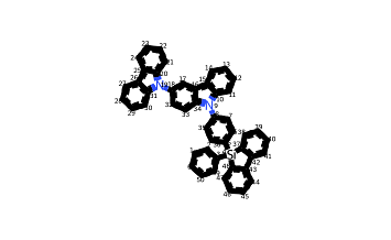 c1ccc([Si]2(c3ccc(-n4c5ccccc5c5cc(-n6c7ccccc7c7ccccc76)ccc54)cc3)c3ccccc3-c3ccccc32)cc1